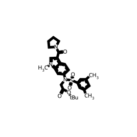 Cc1cc(C)cc(S(=O)(=O)N(CC(=O)OC(C)(C)C)c2ccc3c(C(=O)N4CCCC4)cn(C)c3c2)c1